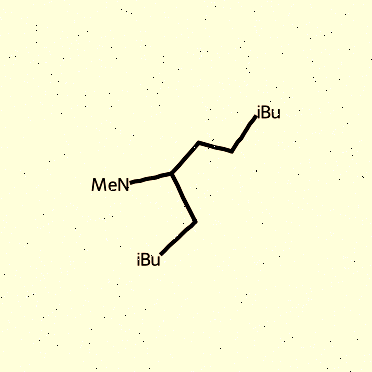 CCC(C)CCC(CC(C)CC)NC